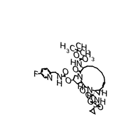 CC(C)(C)OC(=O)N[C@H]1CCCCC/C=C\[C@@H]2C[C@@]2(C(=O)NS(=O)(=O)C2CC2)NC(=O)[C@@H]2C[C@@H](OC(=O)NCc3ccc(F)cn3)CN2C1=O